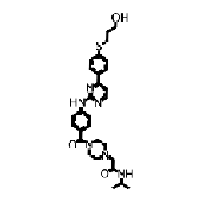 CC(C)NC(=O)CN1CCN(C(=O)c2ccc(Nc3nccc(-c4ccc(SCCCO)cc4)n3)cc2)CC1